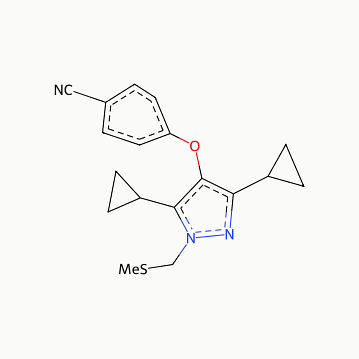 CSCn1nc(C2CC2)c(Oc2ccc(C#N)cc2)c1C1CC1